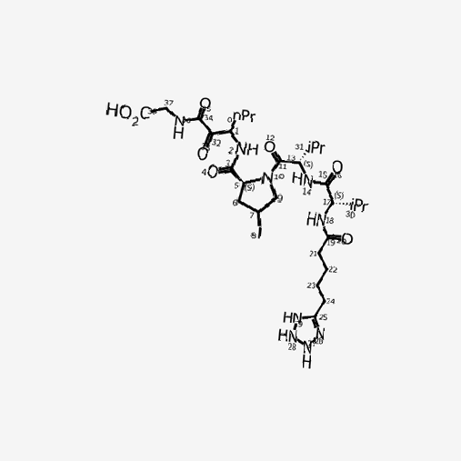 CCCC(NC(=O)[C@@H]1CC(I)CN1C(=O)[C@@H](NC(=O)[C@@H](NC(=O)CCCCC1=NNNN1)C(C)C)C(C)C)C(=O)C(=O)NCC(=O)O